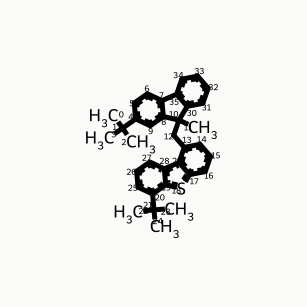 CC(C)(C)c1ccc2c(c1)C(C)(Cc1cccc3sc4c(C(C)(C)C)cccc4c13)c1ccccc1-2